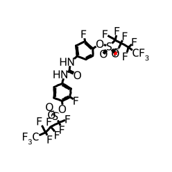 O=C(Nc1ccc(OS(=O)(=O)C(F)(F)C(F)(F)C(F)(F)C(F)(F)F)c(F)c1)Nc1ccc(OS(=O)(=O)C(F)(F)C(F)(F)C(F)(F)C(F)(F)F)c(F)c1